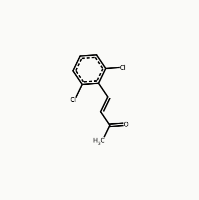 CC(=O)/C=C/c1c(Cl)cccc1Cl